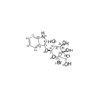 OC[C@@]1(Br)O[C@@H](Oc2c[nH]c3ccccc23)[C@H](O)[C@@H](O)[C@]1(O)Cl